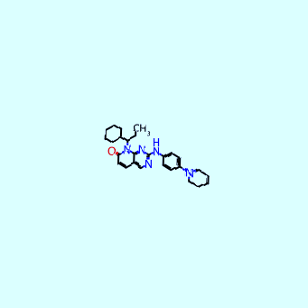 CCC(C1CCCCC1)n1c(=O)ccc2cnc(Nc3ccc(N4CCCCC4)cc3)nc21